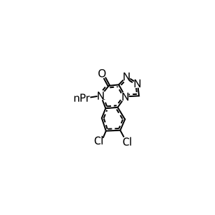 CCCn1c(=O)c2nncn2c2cc(Cl)c(Cl)cc21